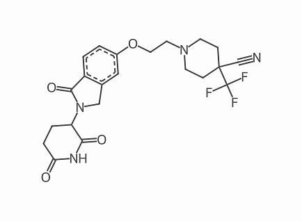 N#CC1(C(F)(F)F)CCN(CCOc2ccc3c(c2)CN(C2CCC(=O)NC2=O)C3=O)CC1